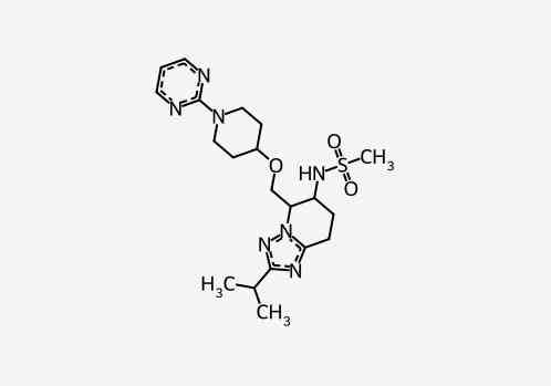 CC(C)c1nc2n(n1)C(COC1CCN(c3ncccn3)CC1)C(NS(C)(=O)=O)CC2